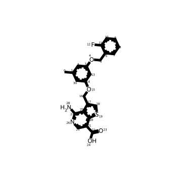 Cc1cc(OCc2ccccc2F)cc(OCc2csc3c(C(=O)O)cnc(N)c23)c1